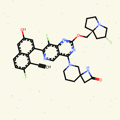 C#Cc1c(F)ccc2cc(O)cc(-c3ncc4c(N5CCCC6(CC(=O)N6)C5)nc(OC[C@@]56CCCN5C[C@H](F)C6)nc4c3F)c12